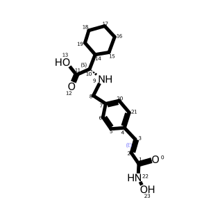 O=C(/C=C/c1ccc(CN[C@H](C(=O)O)C2CCCCC2)cc1)NO